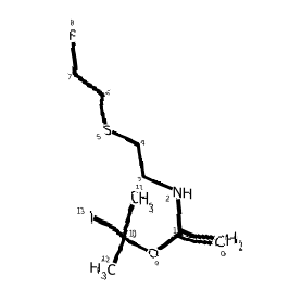 C=C(NCCSCCF)OC(C)(C)I